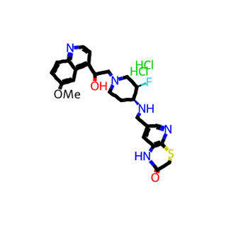 COc1ccc2nccc(C(O)CN3CC[C@H](NCc4cnc5c(c4)NC(=O)CS5)[C@H](F)C3)c2c1.Cl.Cl